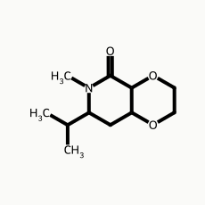 CC(C)C1CC2OCCOC2C(=O)N1C